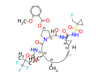 COc1ccccc1C(=O)O[C@@H]1C[C@H]2C(=O)N[C@]3(C(=O)NS(=O)(=O)C4(CF)CC4)C[C@H]3/C=C\CC[C@@H](C)C[C@@H](C)[C@H](NC(=O)OC(C)(C)C(F)(F)F)C(=O)N2C1